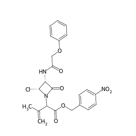 C=C(C)C(C(=O)OCc1ccc([N+](=O)[O-])cc1)N1C(=O)[C@@H](NC(=O)COc2ccccc2)[C@H]1Cl